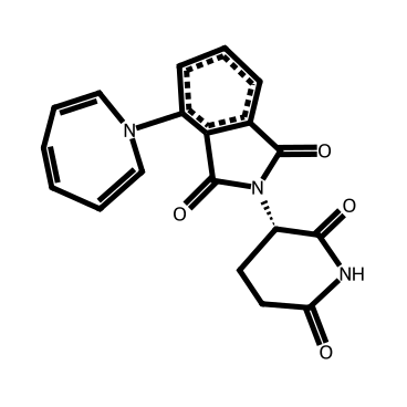 O=C1CC[C@H](N2C(=O)c3cccc(N4C=CC=CC=C4)c3C2=O)C(=O)N1